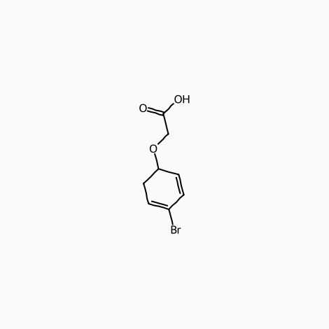 O=C(O)COC1C=CC(Br)=CC1